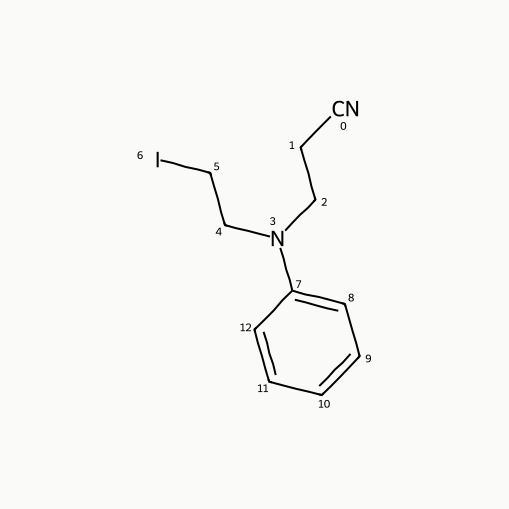 N#CCCN(CCI)c1ccccc1